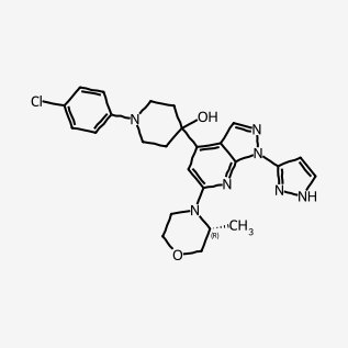 C[C@@H]1COCCN1c1cc(C2(O)CCN(c3ccc(Cl)cc3)CC2)c2cnn(-c3cc[nH]n3)c2n1